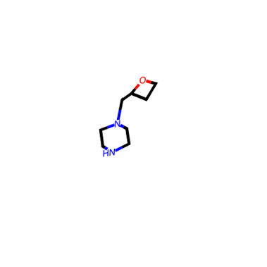 [CH](C1CCO1)N1CCNCC1